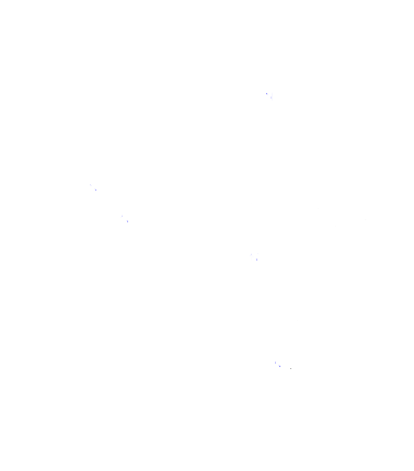 CC(C)(C)c1ccc2c(c1)c1cc(C(C)(C)C)ccc1n2-c1c(-c2cccc(C#N)c2)cc(-c2cc(-c3ccccc3)nc(-c3ccccc3)n2)cc1-c1cccc(C#N)c1